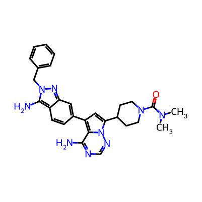 CN(C)C(=O)N1CCC(c2cc(-c3ccc4c(N)n(Cc5ccccc5)nc4c3)c3c(N)ncnn23)CC1